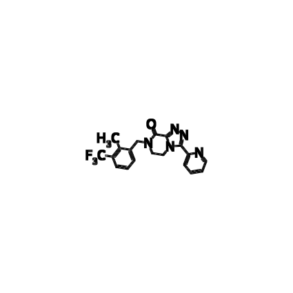 Cc1c(CN2CCn3c(nnc3-c3ccccn3)C2=O)cccc1C(F)(F)F